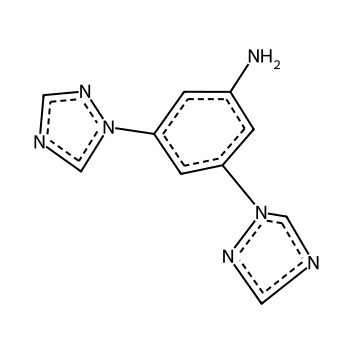 Nc1cc(-n2cncn2)cc(-n2cncn2)c1